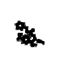 CC#C[C@@H](CNC(=O)OCc1ccccc1)N(CCC)c1ccc(C(C)C(F)(F)F)cc1